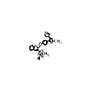 Cn1cc(-c2ccncc2)c(-c2ccc(OCc3nc4ccccc4cc3C(=O)N=S(C)(=O)C3CC3)cc2)n1